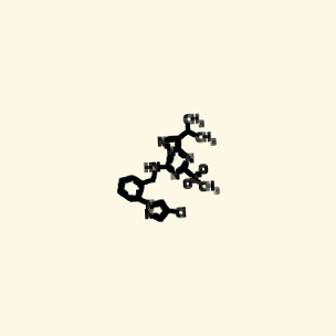 CC(C)c1cnn2c(NCc3ccccc3-n3cc(Cl)cn3)nc(S(C)(=O)=O)nc12